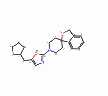 c1ccc2c(c1)COC21CCN(c2ncc(CC3CCCC3)o2)CC1